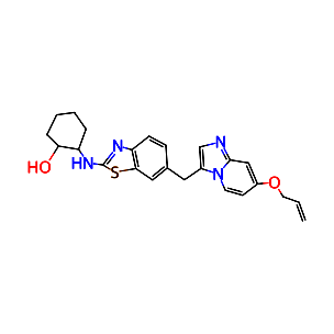 C=CCOc1ccn2c(Cc3ccc4nc(NC5CCCCC5O)sc4c3)cnc2c1